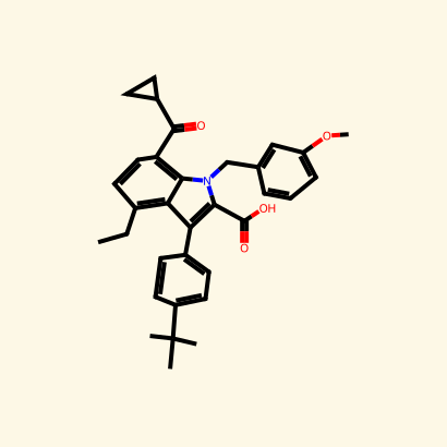 CCc1ccc(C(=O)C2CC2)c2c1c(-c1ccc(C(C)(C)C)cc1)c(C(=O)O)n2Cc1cccc(OC)c1